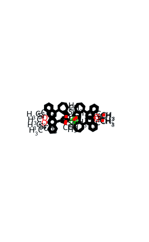 CC1=CC2=C(C=CC=CC2c2ccc(O[Si](C)(C)C)c3ccccc23)[C]12[SiH](C)[C]1(C(C)=CC3=C1C=CC=CC3c1ccc(O[Si](C)(C)C)c3ccccc13)[Zr]21([Cl])([Cl])[C]2(C(C)=CC3=C2C=CC=CC3c2ccc(O[Si](C)(C)C)c3ccccc23)[SiH](C)[C]12C(C)=CC1=C2C=CC=CC1c1ccc(O[Si](C)(C)C)c2ccccc12